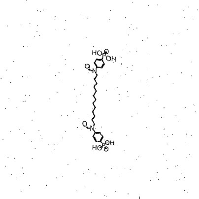 O=CN(CCCCCCCCCCCCCN(C=O)c1ccc(P(=O)(O)O)cc1)c1ccc(P(=O)(O)O)cc1